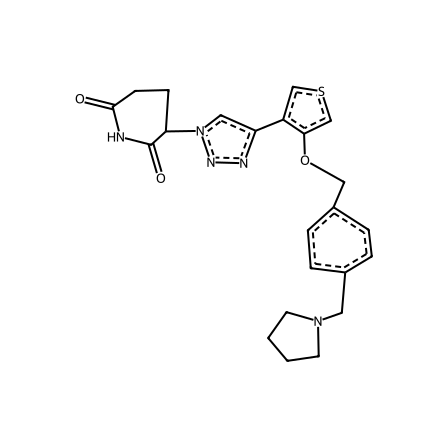 O=C1CCC(n2cc(-c3cscc3OCc3ccc(CN4CCCC4)cc3)nn2)C(=O)N1